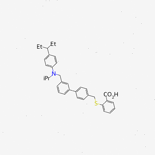 CCC(CC)c1ccc(N(Cc2cccc(-c3ccc(CSc4ccccc4C(=O)O)cc3)c2)C(C)C)cc1